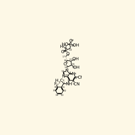 C[C@@H](Nc1c(C#N)c(Cl)nc2c1ncn2[C@@H]1O[C@H](COP(=O)(O)CP(=O)(O)O)[C@@H](O)[C@H]1O)c1ccccc1F